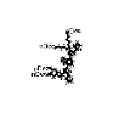 CCCCCCCCCCCCCCCC1(CCCCCCCCCCCCCCC)Oc2ccsc2-c2sc(-c3ccc(-c4cc5c(s4)-c4sccc4OC5(CCCCCCCCCCCCCCC)CCCCCCCCCCCCCCC)c4nsnc34)cc21